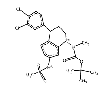 CN(C(=O)OC(C)(C)C)[C@H]1CCC(c2ccc(Cl)c(Cl)c2)c2ccc(NS(C)(=O)=O)cc21